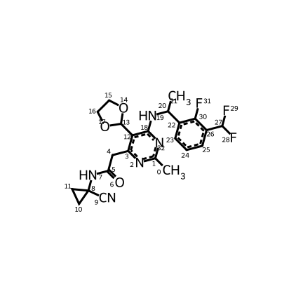 Cc1nc(CC(=O)NC2(C#N)CC2)c(C2OCCO2)c(NC(C)c2cccc(C(F)F)c2F)n1